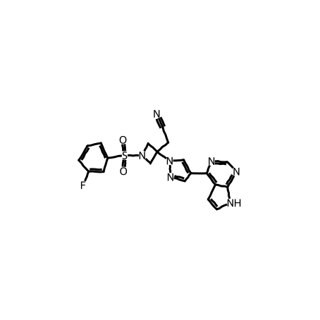 N#CCC1(n2cc(-c3ncnc4[nH]ccc34)cn2)CN(S(=O)(=O)c2cccc(F)c2)C1